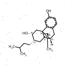 CC(C)CC[C@H]1C[C@@]2(O)[C@H]3Cc4ccc(O)cc4[C@@]2(CCN3C)C[C@H]1O